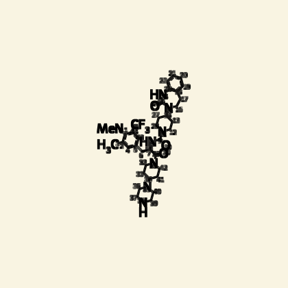 CNc1c(C)cc(C[C@@H](NC(=O)N2CCC(N3CCc4ccccc4NC3=O)CC2)C(=O)N2CCC(N3CCNCC3)CC2)cc1C(F)(F)F